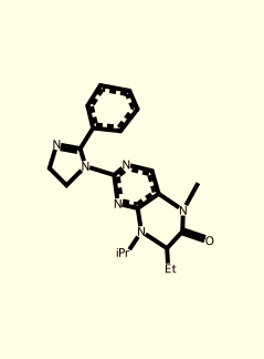 CCC1C(=O)N(C)c2cnc(N3CCN=C3c3ccccc3)nc2N1C(C)C